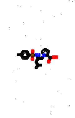 Cc1ccc(S(=O)(=O)NC(CC(C)C)CN2CCC[C@H]2C(=O)O)cc1